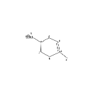 [CH2]C(C)(C)C1CC=C(C)CC1